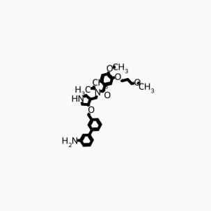 COCCCOc1cc(C(=O)N(CC2CNCC2OCc2cccc(-c3cccc(N)c3)c2)C(C)C)ccc1OC